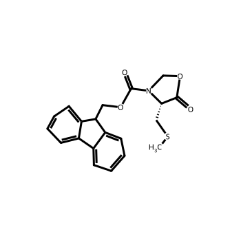 CSC[C@H]1C(=O)OCN1C(=O)OCC1c2ccccc2-c2ccccc21